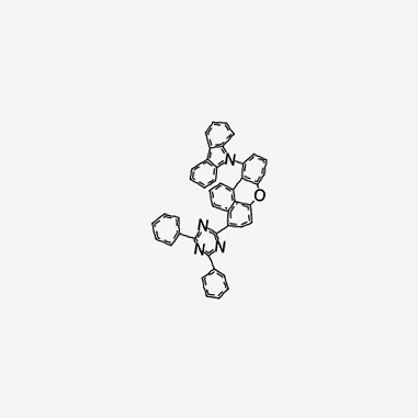 c1ccc(-c2nc(-c3ccccc3)nc(-c3ccc4c5c(cccc35)-c3c(cccc3-n3c5ccccc5c5ccccc53)O4)n2)cc1